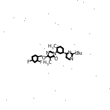 Cc1ccc(-c2ccnc(C(C)(C)C)n2)cc1-n1cnc(OCc2ccc(F)cc2F)c(C)c1=O